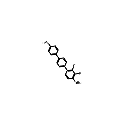 CCCCc1ccc(-c2ccc(-c3ccc(CCC)cc3)cc2)c(Cl)c1F